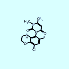 Cn1c(C(F)(F)F)cc(=O)n(-c2c(F)cc(Cl)c3c2NCCO3)c1=O